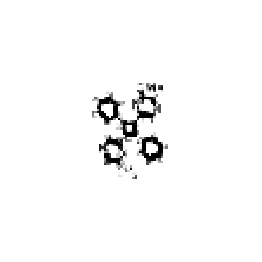 COc1cncc([C@H]2[C@H](c3ccccc3)[C@H](c3cncc(C)n3)[C@H]2c2ccccc2)n1